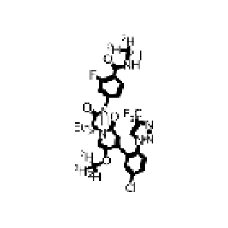 [2H]C([2H])([2H])NC(=O)c1ccc(NC(=O)[C@H](CC)n2cc(OC([2H])([2H])[2H])c(-c3cc(Cl)ccc3-n3cc(C(F)(F)F)nn3)cc2=O)cc1F